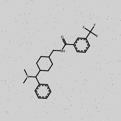 CN(C)C(c1ccccc1)C1CCC(CNC(=O)c2cccc(C(F)(F)F)c2)CC1